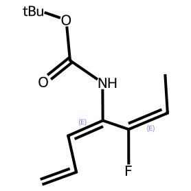 C=C/C=C(NC(=O)OC(C)(C)C)\C(F)=C/C